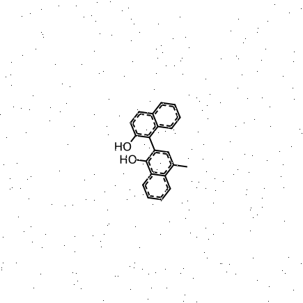 Cc1cc(-c2c(O)ccc3ccccc23)c(O)c2ccccc12